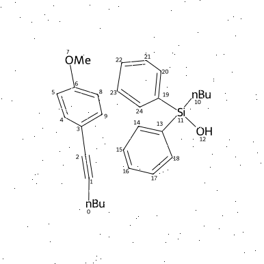 CCCCC#Cc1ccc(OC)cc1.CCCC[Si](O)(c1ccccc1)c1ccccc1